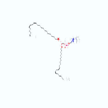 CCCCC/C=C\C/C=C\CCCCCCCCCCCC(=O)OC[C@H](COP(=O)([O-])OCC[N+](C)(C)C)OC(=O)CCCCCCCCCCC/C=C\C/C=C\CCCCC